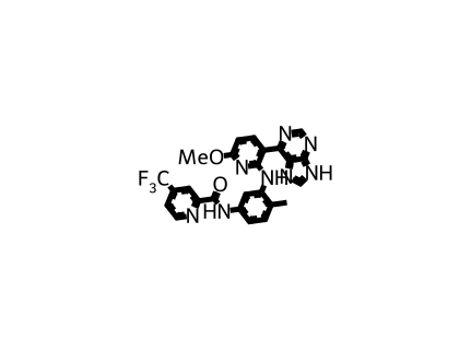 COc1ccc(-c2ncnc3[nH]cnc23)c(Nc2cc(NC(=O)c3cc(C(F)(F)F)ccn3)ccc2C)n1